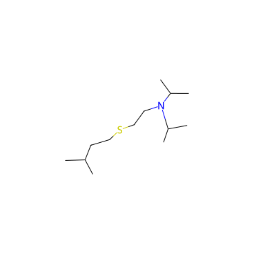 CC(C)CCSCCN(C(C)C)C(C)C